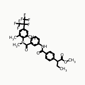 CCC(C(=O)OC)c1ccc(C(=O)Nc2cccc(C(=O)N(C)c3c(C)cc(C(F)(C(F)(F)F)C(F)(F)F)cc3C)c2)cc1